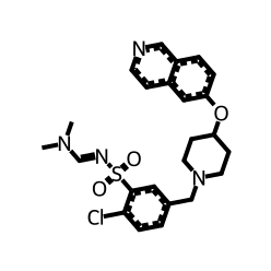 CN(C)C=NS(=O)(=O)c1cc(CN2CCC(Oc3ccc4cnccc4c3)CC2)ccc1Cl